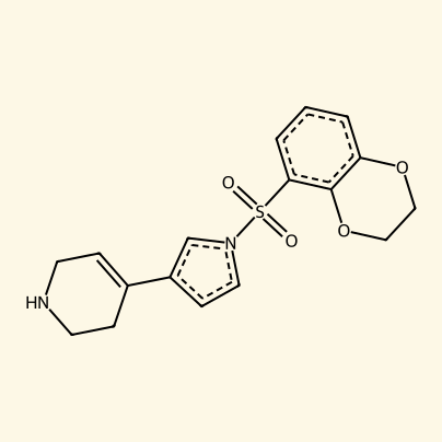 O=S(=O)(c1cccc2c1OCCO2)n1ccc(C2=CCNCC2)c1